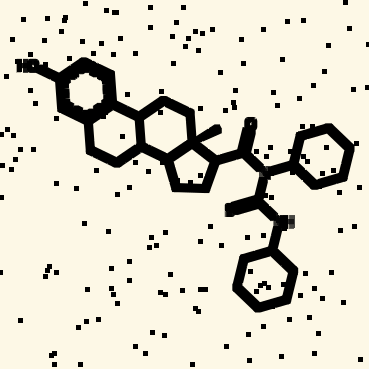 C[C@]12CCC3c4ccc(O)cc4CCC3C1CCC2C(=O)N(C(=S)NC1CCCCC1)C1CCCCC1